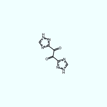 O=C(C(=O)c1nc[nH]n1)c1nc[nH]n1